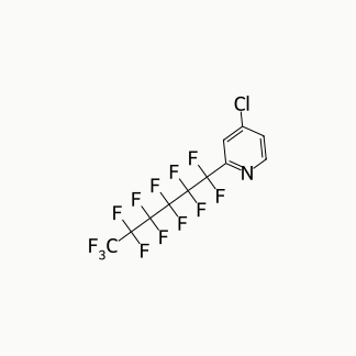 FC(F)(F)C(F)(F)C(F)(F)C(F)(F)C(F)(F)C(F)(F)c1cc(Cl)ccn1